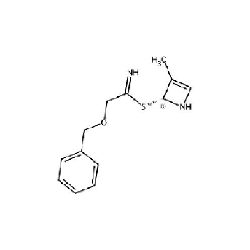 CC1=CN[C@@H]1SC(=N)COCc1ccccc1